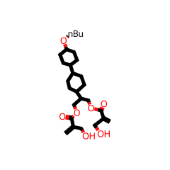 C=C(CO)C(=O)OCC(COC(=O)C(=C)CO)C1CCC(C2CCC(OCCCC)CC2)CC1